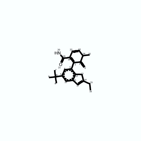 C=C1C(c2cc(C(C)(C)C)cc3c2CC(CC)=C3)=C(C([NH])=O)C=CC1C